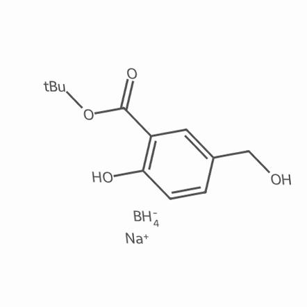 CC(C)(C)OC(=O)c1cc(CO)ccc1O.[BH4-].[Na+]